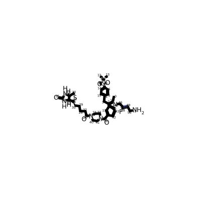 Cc1c(Cc2ccc(S(=O)(=O)N(C)C)cc2)c2cc(C(=O)N3CCN(C(=O)CCCC[C@@H]4SC[C@@H]5NC(=O)N[C@@H]54)CC3)ccc2n1C/C(F)=C/CN